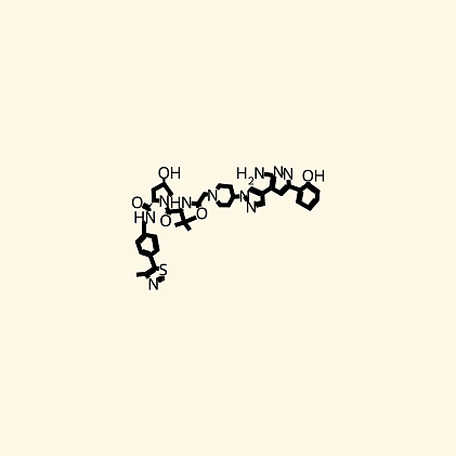 Cc1ncsc1-c1ccc(CNC(=O)[C@@H]2C[C@@H](O)CN2C(=O)C(NC(=O)CN2CCC(n3cc(-c4cc(-c5ccccc5O)nnc4N)cn3)CC2)C(C)(C)C)cc1